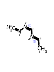 C=N/N=C\N=C\C